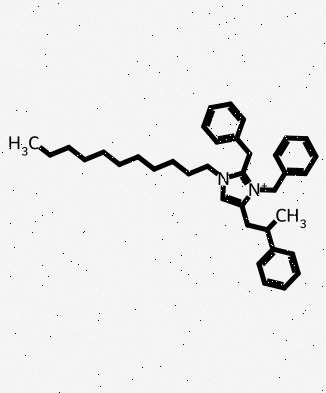 CCCCCCCCCCCn1cc(CC(C)c2ccccc2)[n+](Cc2ccccc2)c1Cc1ccccc1